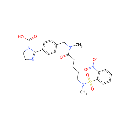 CN(Cc1ccc(C2=NCCN2C(=O)O)cc1)C(=O)CCCCN(C)S(=O)(=O)c1ccccc1[N+](=O)[O-]